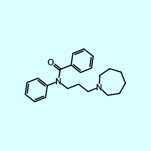 O=C(c1ccccc1)N(CCCN1CCCCCC1)c1ccccc1